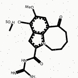 COc1cc2c3c(cc(C(=O)NC(=N)N)n3CCCCC2=O)c1Cl.CS(=O)(=O)O